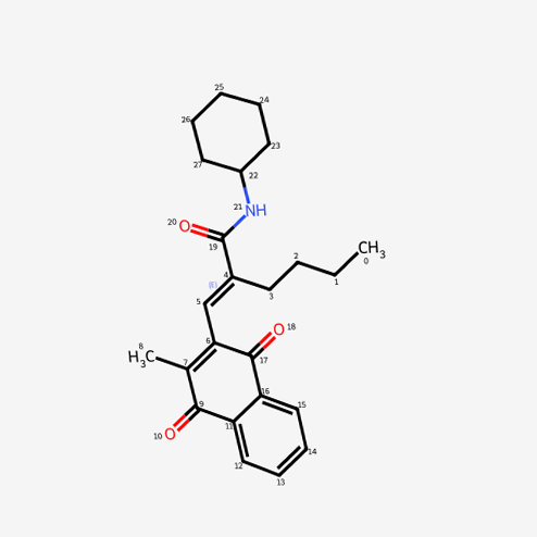 CCCC/C(=C\C1=C(C)C(=O)c2ccccc2C1=O)C(=O)NC1CCCCC1